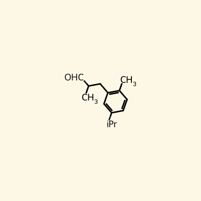 Cc1ccc(C(C)C)cc1CC(C)C=O